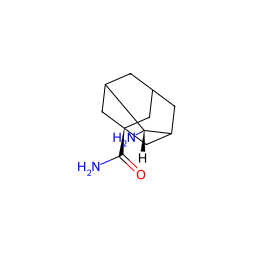 NC(=O)[C@]12CC3CC(C1)[C@@H](N)C(C3)C2